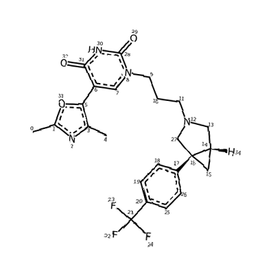 Cc1nc(C)c(-c2cn(CCCN3C[C@@H]4C[C@]4(c4ccc(C(F)(F)F)cc4)C3)c(=O)[nH]c2=O)o1